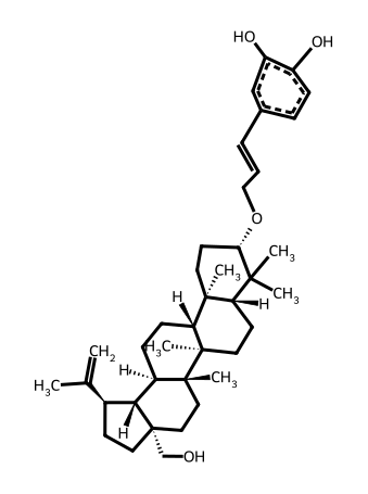 C=C(C)[C@@H]1CC[C@]2(CO)CC[C@]3(C)[C@H](CC[C@@H]4[C@@]5(C)CC[C@H](OCC=Cc6ccc(O)c(O)c6)C(C)(C)[C@@H]5CC[C@]43C)[C@@H]12